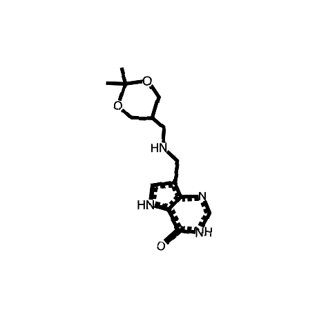 CC1(C)OCC(CNCc2c[nH]c3c(=O)[nH]cnc23)CO1